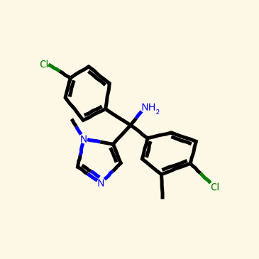 Cc1cc(C(N)(c2ccc(Cl)cc2)c2cncn2C)ccc1Cl